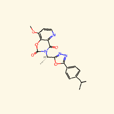 COc1ccnc2c(=O)n([C@@H](C)c3nnc(-c4ccc(C(C)C)cc4)o3)c(=O)oc12